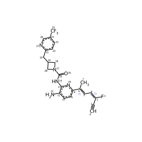 C#C/C(F)=C\C=C(/C)c1ccc(N)c(NC(=O)N2CC(Cc3ccc(C(F)(F)F)cn3)C2)n1